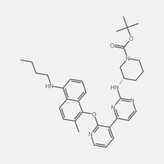 CCCCNc1cccc2c(Oc3ncccc3-c3ccnc(N[C@H]4CCCN(C(=O)OC(C)(C)C)C4)n3)c(C)ccc12